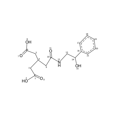 O=C(O)CC(CC(=O)O)CC(=O)NCC(O)c1ccccc1